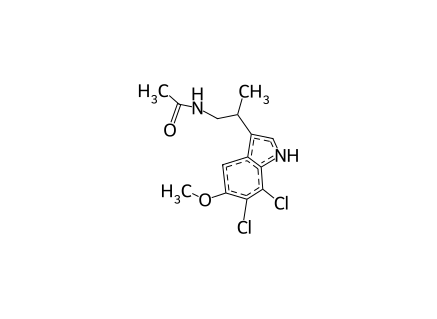 COc1cc2c(C(C)CNC(C)=O)c[nH]c2c(Cl)c1Cl